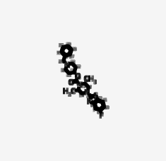 C[C@@H]1CN(c2nc3cc(F)ccc3s2)C[C@@H](C)N1C(=O)OC1CCN(Cc2ccccc2)CC1